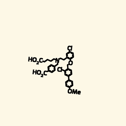 COc1ccc(-c2ccc(COc3ccc(Cl)cc3CCN(CCCCC(=O)O)Cc3ccc(C(=O)O)cc3)c(Cl)c2)cc1